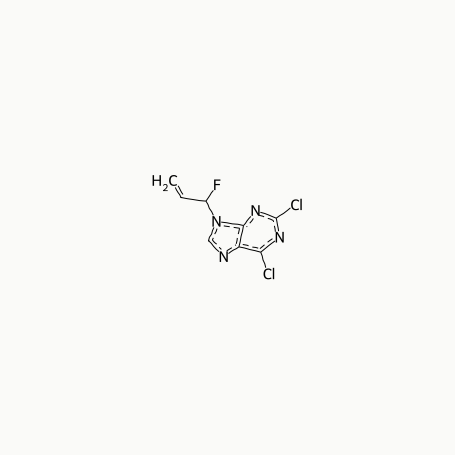 C=CC(F)n1cnc2c(Cl)nc(Cl)nc21